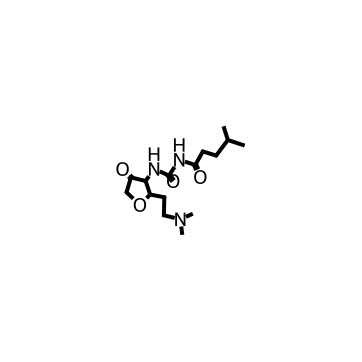 CC(C)CCC(=O)NC(=O)NC1C(=O)COC1CCN(C)C